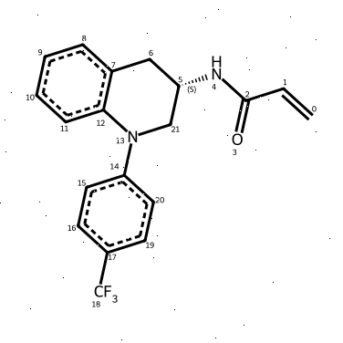 C=CC(=O)N[C@H]1Cc2ccccc2N(c2ccc(C(F)(F)F)cc2)C1